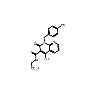 N#Cc1ccc(Cn2c(=O)c(C(=O)NCC(=O)O)c(O)c3cccnc32)cc1